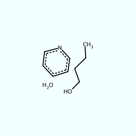 CCCCO.O.c1ccncc1